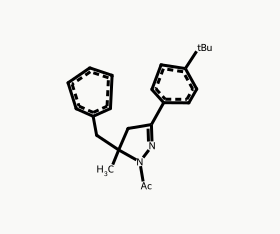 CC(=O)N1N=C(c2ccc(C(C)(C)C)cc2)CC1(C)Cc1ccccc1